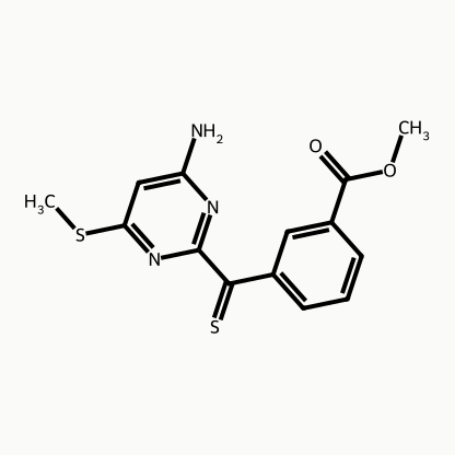 COC(=O)c1cccc(C(=S)c2nc(N)cc(SC)n2)c1